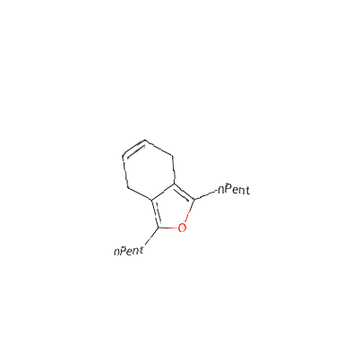 CCCCCc1oc(CCCCC)c2c1CC=CC2